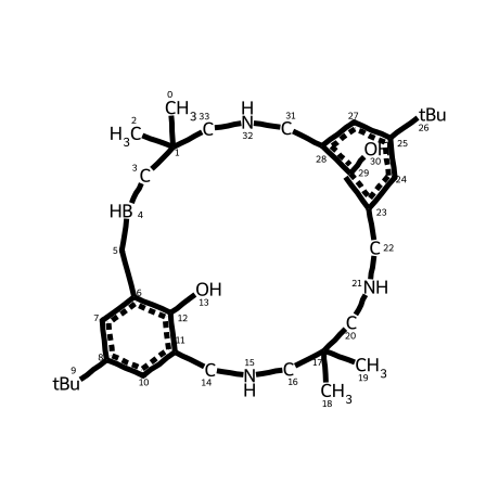 CC1(C)CBCc2cc(C(C)(C)C)cc(c2O)CNCC(C)(C)CNCc2cc(C(C)(C)C)cc(c2O)CNC1